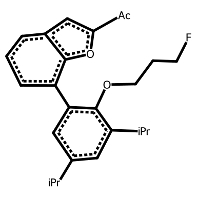 CC(=O)c1cc2cccc(-c3cc(C(C)C)cc(C(C)C)c3OCCCF)c2o1